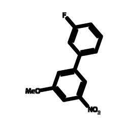 COc1cc(-c2cccc(F)c2)cc([N+](=O)[O-])c1